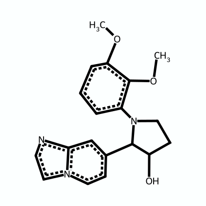 COc1cccc(N2CCC(O)C2c2ccn3ccnc3c2)c1OC